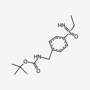 CCS(=N)(=O)c1ccc(CNC(=O)OC(C)(C)C)cc1